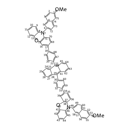 COc1ccc2cc(N3c4ccccc4Oc4cc(-c5ccc(-c6c7ccccc7c(-c7ccc(-c8ccc9c(c8)Oc8ccccc8N9c8ccc9cc(OC)ccc9c8)cc7)c7ccccc67)cc5)ccc43)ccc2c1